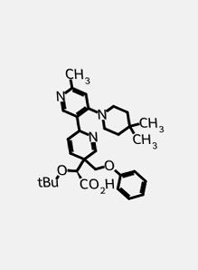 Cc1cc(N2CCC(C)(C)CC2)c(C2C=CC(COc3ccccc3)([C@H](OC(C)(C)C)C(=O)O)C=N2)cn1